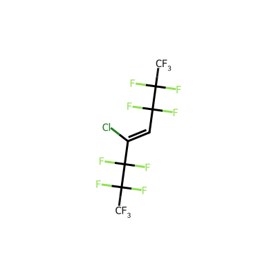 FC(F)(F)C(F)(F)C(F)(F)C=C(Cl)C(F)(F)C(F)(F)C(F)(F)F